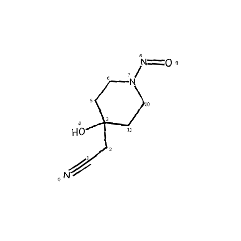 N#CCC1(O)CCN(N=O)CC1